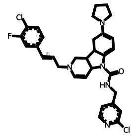 O=C(NCc1ccnc(Cl)c1)N1C2=CC=C(N3CCCC3)CC2C2CN(C/C=C/c3ccc(Cl)c(F)c3)C=CC21